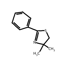 CC1(C)CSC(c2c[c]ccc2)=N1